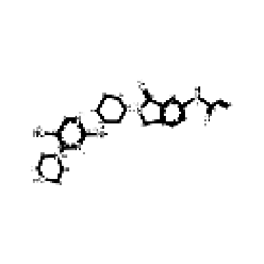 C=CC(=O)Nc1ccc2c(c1)C(=O)N([C@H]1CCC[C@@H](Nc3ncc(C#N)c(N4CCOCC4)n3)C1)C2